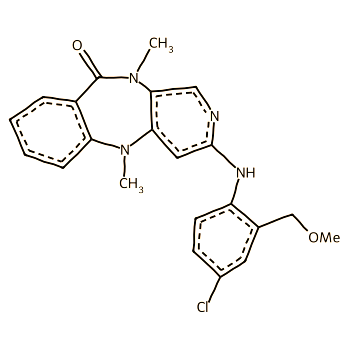 COCc1cc(Cl)ccc1Nc1cc2c(cn1)N(C)C(=O)c1ccccc1N2C